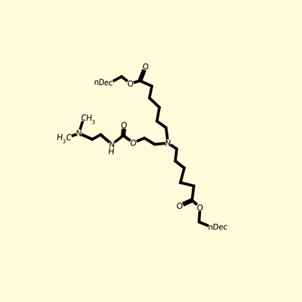 CCCCCCCCCCCOC(=O)CCCCCN(CCCCCC(=O)OCCCCCCCCCCC)CCOC(=O)NCCN(C)C